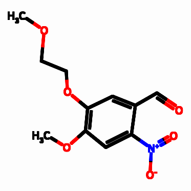 COCCOc1cc(C=O)c([N+](=O)[O-])cc1OC